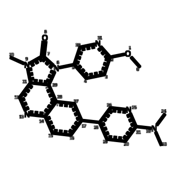 COc1ccc(-n2c(=O)n(C)c3cnc4ccc(-c5ccc(N(C)C)nc5)cc4c32)cn1